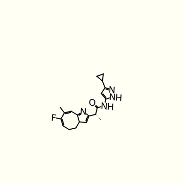 CC1=C/C2=NC([C@@H](C)C(=O)Nc3cc(C4CC4)n[nH]3)=CC2CC/C=C\1F